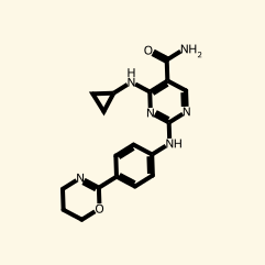 NC(=O)c1cnc(Nc2ccc(C3=NCCCO3)cc2)nc1NC1CC1